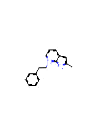 Cc1cc2cccn(CCc3ccccc3)c-2n1